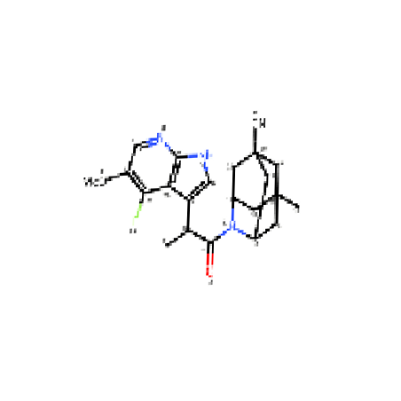 COc1cnc2[nH]cc(C(C)C(=O)N3C4CC5(C)CC3CC(C#N)(C4)C5)c2c1F